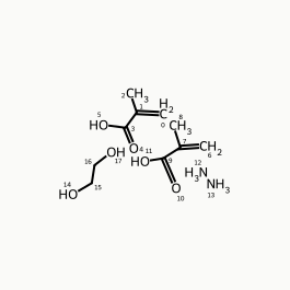 C=C(C)C(=O)O.C=C(C)C(=O)O.N.N.OCCO